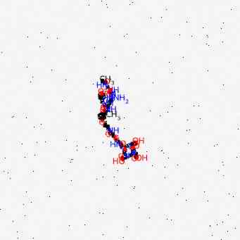 CCC(=O)NCCNC(=O)/N=C(/N)NCCC[C@@H](NC(=O)C(C)c1cccc(OCCCCNC(=O)CCOCCNC(=O)CN2CCN(CC(=O)O)CCN(CC(=O)O)CCN(CC(=O)O)CC2)c1)C(=O)NCc1ccc(O)cc1